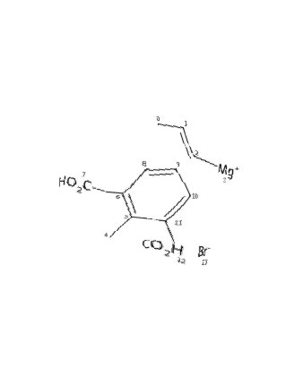 CC=[CH][Mg+].Cc1c(C(=O)O)cccc1C(=O)O.[Br-]